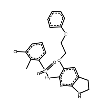 Cc1c(Cl)cccc1S(=O)(=O)Nc1nc2c(cc1OCCOc1ccccc1)CCN2